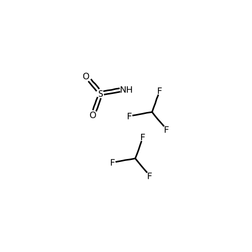 FC(F)F.FC(F)F.N=S(=O)=O